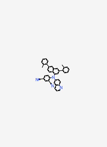 Cc1ccccc1-c1ccc2c(N(c3ccc4ncccc4c3)c3ccc(C#N)cc3C#N)cc(-c3ccccc3C)cc2c1